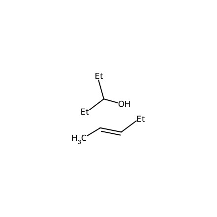 CC=CCC.CCC(O)CC